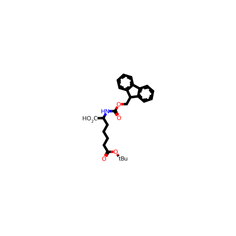 CC(C)(C)OC(=O)CCCCC(NC(=O)OCC1c2ccccc2-c2ccccc21)C(=O)O